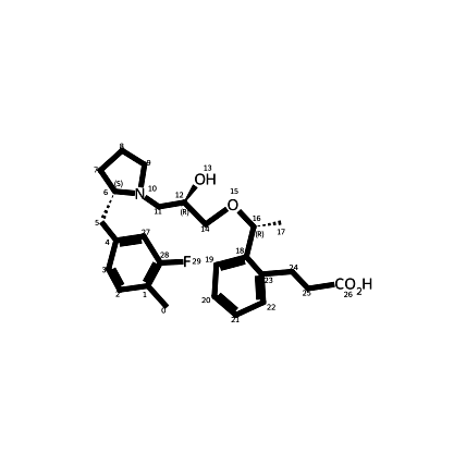 Cc1ccc(C[C@@H]2CCCN2C[C@@H](O)CO[C@H](C)c2ccccc2CCC(=O)O)cc1F